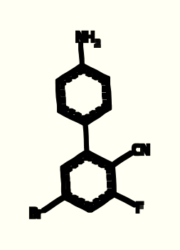 N#Cc1c(F)cc(Br)cc1-c1ccc(N)cc1